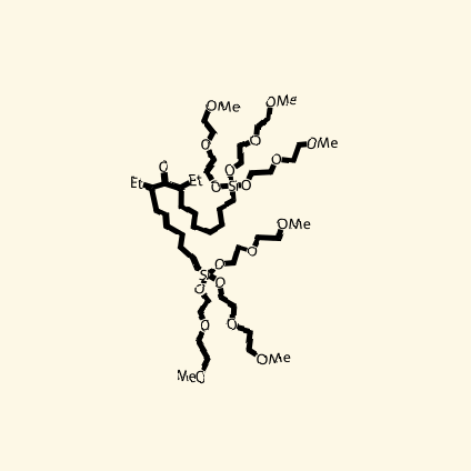 CCC(CCCCCCC[Si](OCCOCCOC)(OCCOCCOC)OCCOCCOC)C(=O)C(CC)CCCCCCC[Si](OCCOCCOC)(OCCOCCOC)OCCOCCOC